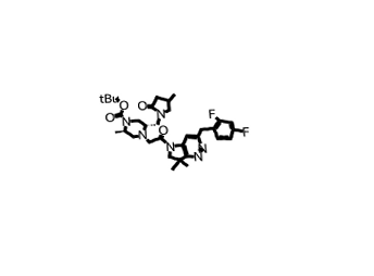 CC1CC(=O)N(C[C@H]2CN(C(=O)OC(C)(C)C)[C@H](C)CN2CC(=O)N2CC(C)(C)c3nnc(Cc4ccc(F)cc4F)cc32)C1